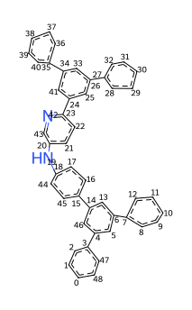 c1ccc(-c2cc(-c3ccccc3)cc(-c3ccc(Nc4ccc(-c5cc(-c6ccccc6)cc(-c6ccccc6)c5)nc4)cc3)c2)cc1